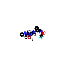 Cc1nn(C2CCCCC2)c(C)c1C(=O)N1CC2=CN(CCC3(c4ccccc4)CCN(C(=O)C4CC(F)(F)C4)C3)CC2C1